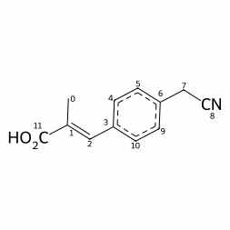 CC(=Cc1ccc(CC#N)cc1)C(=O)O